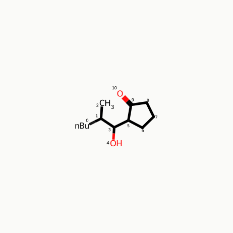 CCCCC(C)C(O)C1CCCC1=O